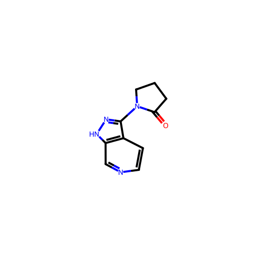 O=C1CCCN1c1n[nH]c2cnccc12